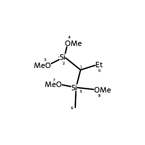 CCC([Si](OC)OC)[Si](C)(OC)OC